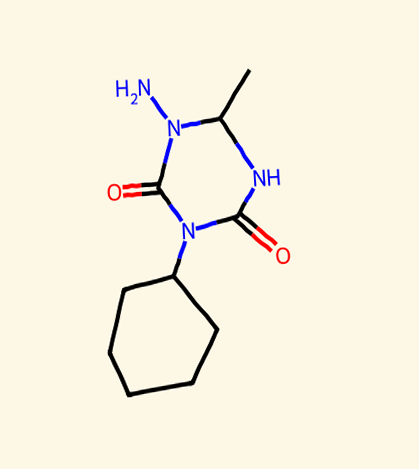 CC1NC(=O)N(C2CCCCC2)C(=O)N1N